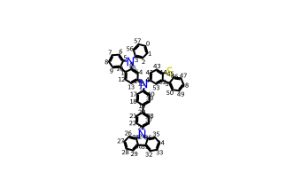 c1ccc(-n2c3ccccc3c3ccc(N(c4ccc(-c5ccc(-n6c7ccccc7c7ccccc76)cc5)cc4)c4ccc5sc6ccccc6c5c4)cc32)cc1